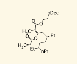 C=CC(=O)OC(CC(CC)CCC(CC)CCC)=C(C)C(=O)OCCCCCCCCCCCC